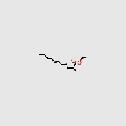 CCCCCCCCC=C(C)C(=O)OCC